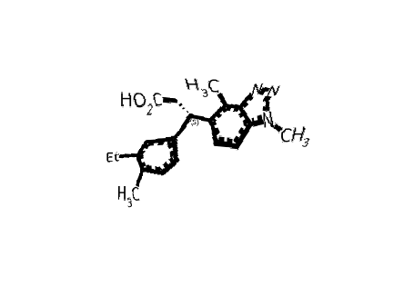 CCc1cc([C@H](CC(=O)O)c2ccc3c(nnn3C)c2C)ccc1C